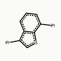 CC(C)c1csc2c(C(C)C)cccc12